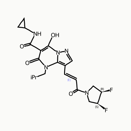 CC(C)Cn1c(=O)c(C(=O)NC2CC2)c(O)n2ncc(/C=C/C(=O)N3C[C@@H](F)[C@@H](F)C3)c12